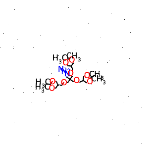 CC1(C)OCC(COCC(CN=[N+]=[N-])(COCC2COC(C)(C)OC2)COCC2COC(C)(C)OC2)CO1